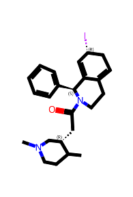 CC1CCN(C)C[C@@H]1CC(=O)N1CCC2=CC[C@@H](I)C=C2[C@@H]1c1ccccc1